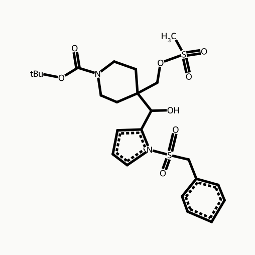 CC(C)(C)OC(=O)N1CCC(COS(C)(=O)=O)(C(O)c2cccn2S(=O)(=O)Cc2ccccc2)CC1